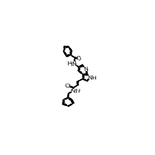 O=C(C=Cc1c[nH]c2ncc(NC(=O)c3ccccc3)cc12)NCc1ccccc1